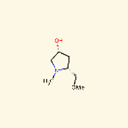 COC[C@H]1C[C@@H](O)CN1C